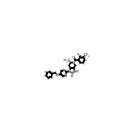 C[C@H]1CC2=C(CN1C(=O)c1cccc(C(F)(F)F)c1F)NNN2c1ncc(OCc2ccccc2)cn1